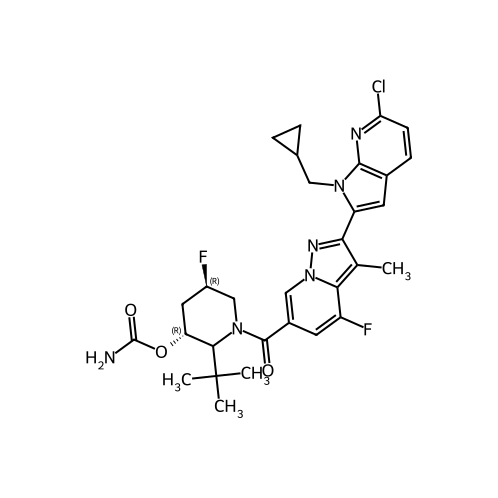 Cc1c(-c2cc3ccc(Cl)nc3n2CC2CC2)nn2cc(C(=O)N3C[C@H](F)C[C@@H](OC(N)=O)C3C(C)(C)C)cc(F)c12